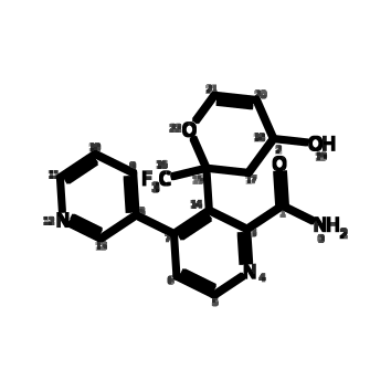 NC(=O)c1nccc(-c2cccnc2)c1C1(C(F)(F)F)CC(O)C=CO1